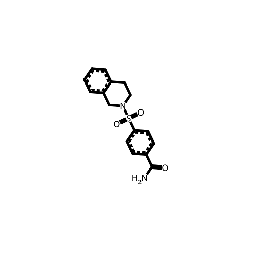 NC(=O)c1ccc(S(=O)(=O)N2CCc3ccccc3C2)cc1